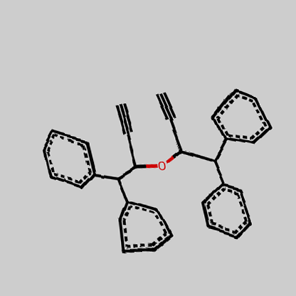 C#CC(OC(C#C)C(c1ccccc1)c1ccccc1)C(c1ccccc1)c1ccccc1